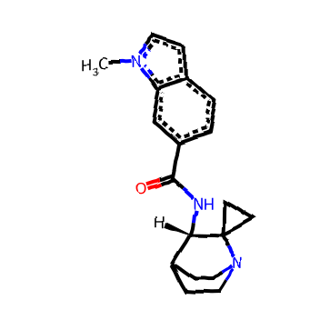 Cn1ccc2ccc(C(=O)N[C@H]3C4CCN(CC4)C34CC4)cc21